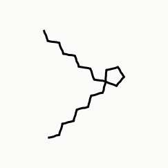 CCCCCCCCC1(CCCCCCCC)CCCC1